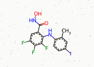 Cc1cc(I)ccc1Nc1c(C(=O)NO)cc(F)c(F)c1F